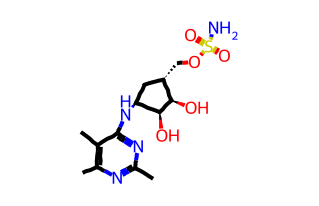 Cc1nc(C)c(C)c(N[C@@H]2C[C@H](COS(N)(=O)=O)[C@@H](O)[C@H]2O)n1